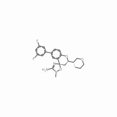 CN1O[C@]2(C[C@H]([C@H]3CCCOC3)Oc3ccc(-c4cc(F)cc(F)c4)cc32)N=C1N